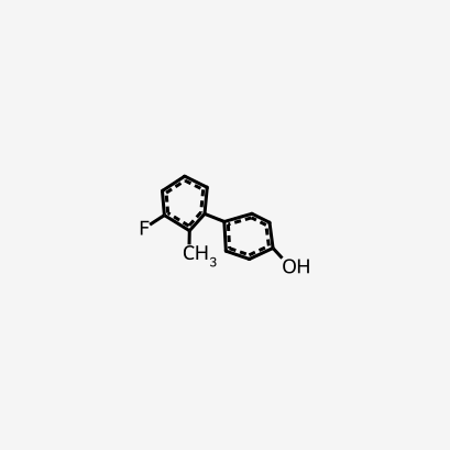 Cc1c(F)cccc1-c1ccc(O)cc1